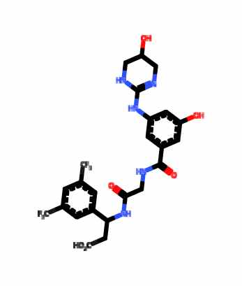 O=C(O)CC(NC(=O)CNC(=O)c1cc(O)cc(NC2=NCC(O)CN2)c1)c1cc(C(F)(F)F)cc(C(F)(F)F)c1